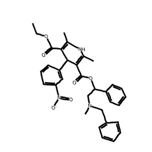 CCOC(=O)C1=C(C)NC(C)=C(C(=O)OC(CN(C)Cc2ccccc2)c2ccccc2)C1c1cccc([N+](=O)[O-])c1